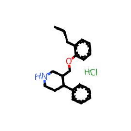 CCCc1ccccc1OCC1CNCCC1c1ccccc1.Cl